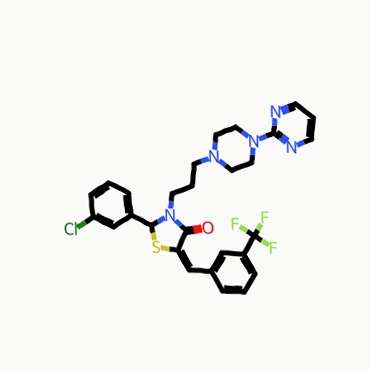 O=C1/C(=C\c2cccc(C(F)(F)F)c2)SC(c2cccc(Cl)c2)N1CCCN1CCN(c2ncccn2)CC1